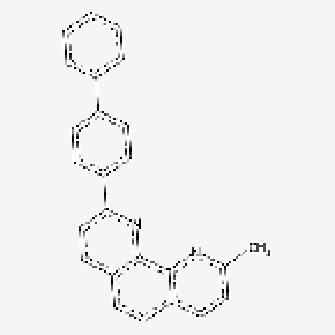 Cc1ccc2ccc3ccc(-c4ccc(-c5ccccc5)cc4)nc3c2n1